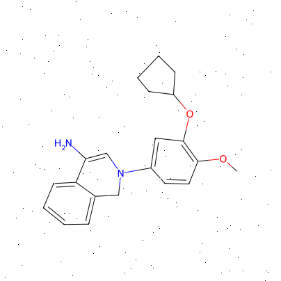 COc1ccc(N2C=C(N)c3ccccc3C2)cc1OC1CCCC1